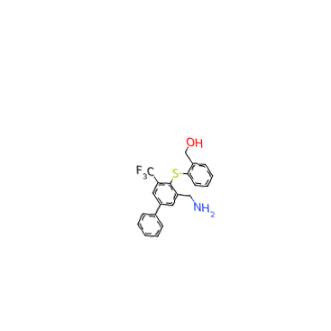 NCc1cc(-c2ccccc2)cc(C(F)(F)F)c1Sc1ccccc1CO